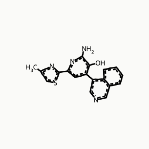 Cc1csc(-c2cc(-c3cncc4ccccc34)c(O)c(N)n2)n1